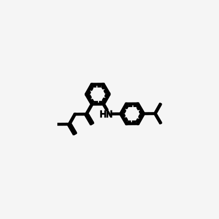 C=C(C)CC(=C)c1ccccc1Nc1ccc(C(C)C)cc1